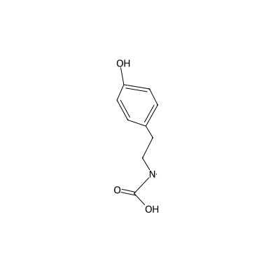 O=C(O)[N]CCc1ccc(O)cc1